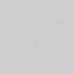 CO[C@H]1C[C@@H](CO)N(C)C1